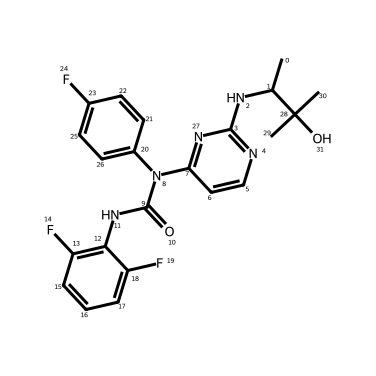 CC(Nc1nccc(N(C(=O)Nc2c(F)cccc2F)c2ccc(F)cc2)n1)C(C)(C)O